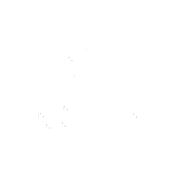 O=S(=O)(Nc1cccc(-c2nnn[nH]2)c1)C1CC=C(c2ccncc2)S1